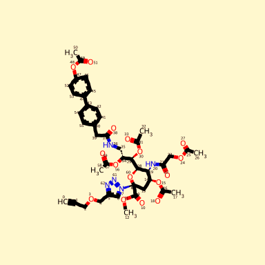 C#CCOCc1cn([C@]2(C(=O)OC)C[C@H](OC(C)=O)[C@@H](NC(=O)COC(C)=O)[C@H]([C@H](OC(C)=O)[C@@H](CNC(=O)Cc3ccc(-c4ccc(OC(C)=O)cc4)cc3)OC(C)=O)O2)nn1